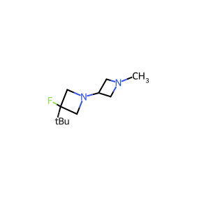 CN1CC(N2CC(F)(C(C)(C)C)C2)C1